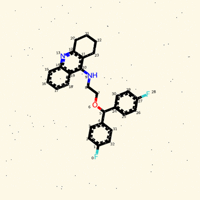 Fc1ccc(C(OCCNc2c3c(nc4ccccc24)CCCC3)c2ccc(F)cc2)cc1